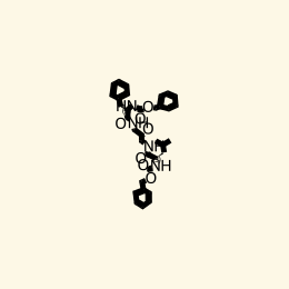 CC(C)C[C@H](NC(=O)OCc1ccccc1)C(=O)NCC(=O)CNC(=O)[C@H](Cc1ccccc1)NC(=O)OCc1ccccc1